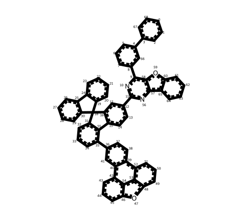 c1ccc(-c2cccc(-c3nc(-c4ccc5c(c4)C4(c6ccccc6-c6ccccc64)c4cccc(-c6ccc7c(c6)c6cccc8oc9cccc7c9c86)c4-5)nc4c3oc3ccccc34)c2)cc1